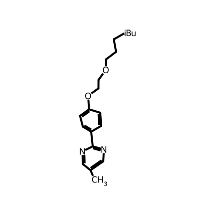 CCC(C)CCCOCCOc1ccc(-c2ncc(C)cn2)cc1